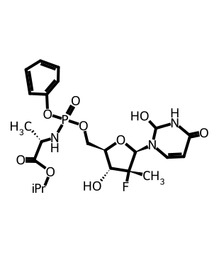 CC(C)OC(=O)[C@H](C)NP(=O)(OC[C@H]1O[C@@H](N2C=CC(=O)NC2O)[C@](C)(F)[C@@H]1O)Oc1ccccc1